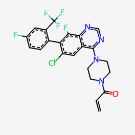 C=CC(=O)N1CCN(c2ncnc3c(F)c(-c4ccc(F)cc4C(F)(F)F)c(Cl)cc23)CC1